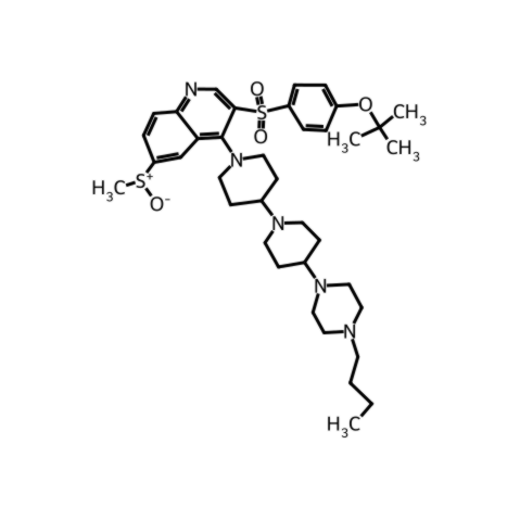 CCCCN1CCN(C2CCN(C3CCN(c4c(S(=O)(=O)c5ccc(OC(C)(C)C)cc5)cnc5ccc([S+](C)[O-])cc45)CC3)CC2)CC1